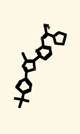 Cc1nc(-c2ccc(C(C)(C)C)cc2)sc1-c1ccnc(N=C(N)N2CCCC2)n1